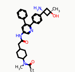 CCC(=O)N(C)C1CCC(CC(=O)Nc2cnc(-c3ccc([C@]4(N)C[C@](C)(O)C4)cc3)c(-c3ccccc3)c2)CC1